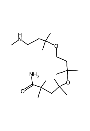 CNCCC(C)(C)OCCC(C)(C)OC(C)(C)CC(C)(C)C(N)=O